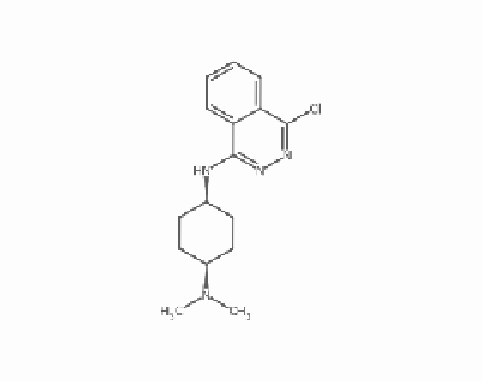 CN(C)[C@H]1CC[C@@H](Nc2nnc(Cl)c3ccccc23)CC1